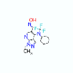 CCn1ncc2c(N(C3CCCCC3)C(F)(F)F)c(/C=N/O)cnc21